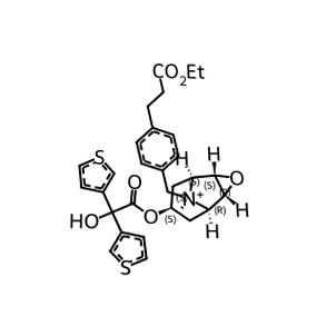 CCOC(=O)CCc1ccc(C[N@+]2(C)[C@@H]3C[C@@H](OC(=O)C(O)(c4ccsc4)c4ccsc4)C[C@H]2[C@@H]2O[C@@H]23)cc1